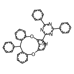 Sc1c2ccc(-c3nc(-c4ccccc4)nc(-c4ccccc4)n3)c1Oc1ccccc1C(c1ccccc1)c1ccccc1O2